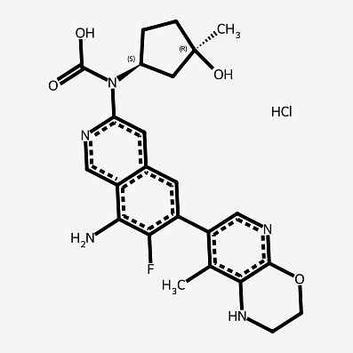 Cc1c(-c2cc3cc(N(C(=O)O)[C@H]4CC[C@@](C)(O)C4)ncc3c(N)c2F)cnc2c1NCCO2.Cl